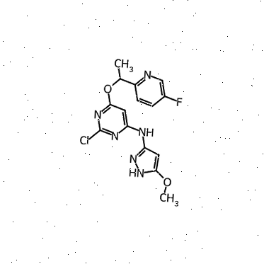 COc1cc(Nc2cc(OC(C)c3ccc(F)cn3)nc(Cl)n2)n[nH]1